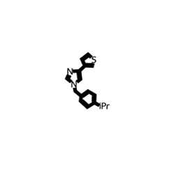 CC(C)c1ccc(Cn2cnc(-c3ccsc3)c2)cc1